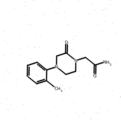 Cc1ccccc1N1CCN(CC(N)=O)C(=O)C1